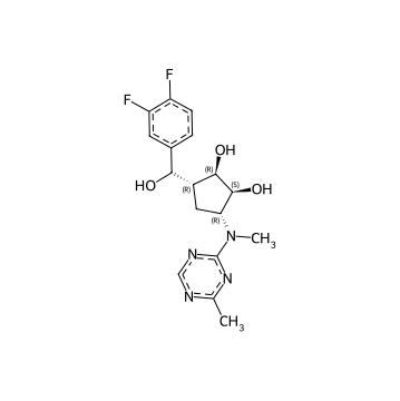 Cc1ncnc(N(C)[C@@H]2C[C@H](C(O)c3ccc(F)c(F)c3)[C@@H](O)[C@H]2O)n1